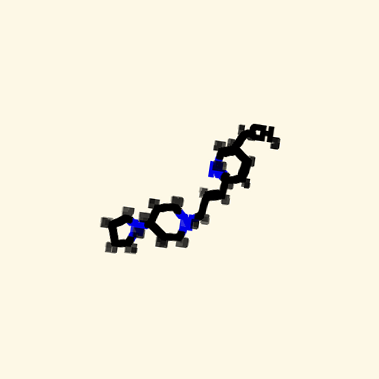 CCc1ccc(/C=C/CN2CCC(N3CCCC3)CC2)nc1